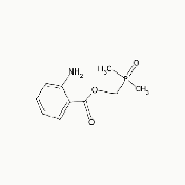 CP(C)(=O)COC(=O)c1ccccc1N